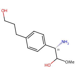 COC(O)[C@@H](N)c1ccc(CCCO)cc1